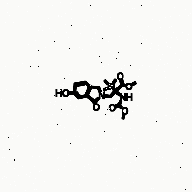 COC(=O)NC(CN1Cc2ccc(O)cc2C1=O)(C(=O)OC)[Si](C)(C)C